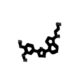 CCOc1ccc(C2=NC(c3cccc4c3CCC4NCCO)=NC2)cc1OCC